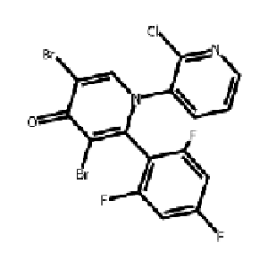 O=c1c(Br)cn(-c2cccnc2Cl)c(-c2c(F)cc(F)cc2F)c1Br